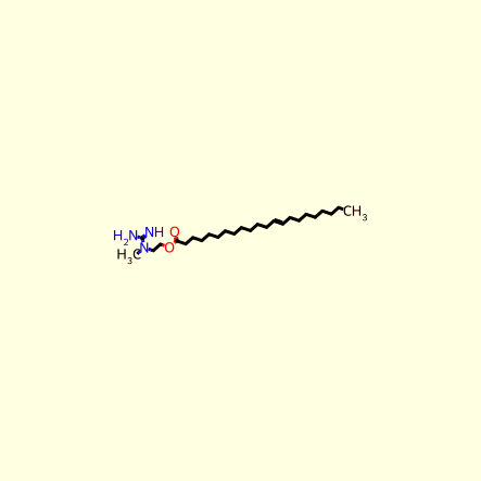 CCCCCCCC/C=C/CCCCCCCCCCCC(=O)OCCN(C)C(=N)N